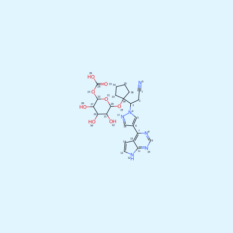 N#CCC(n1cc(-c2ncnc3[nH]ccc23)cn1)C1(OC2OC(OC(=O)O)C(O)C(O)C2O)CCCC1